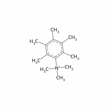 Cc1c(C)c(C)c([N+](C)(C)C)c(C)c1C